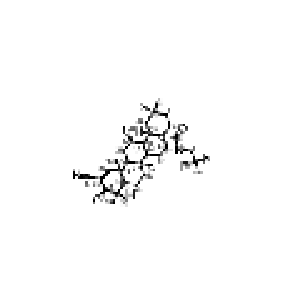 CC1(C)CC[C@@]2(C(=O)NCC(F)(F)F)CC[C@]3(C)C(C(=O)CC4[C@@]5(C)C=C(C#N)C(=O)C(C)(C)[C@@H]5CC[C@]43C)[C@@H]2C1